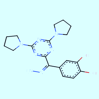 NN=C(c1ccc(O)c(O)c1)c1nc(N2CCCC2)nc(N2CCCC2)n1